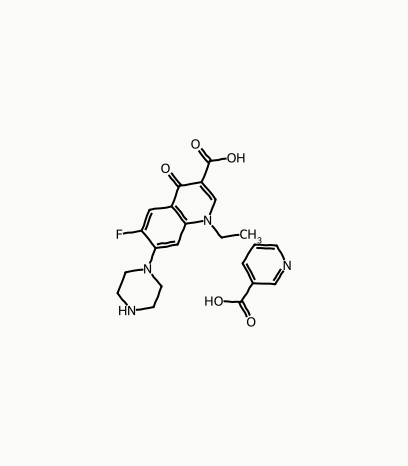 CCn1cc(C(=O)O)c(=O)c2cc(F)c(N3CCNCC3)cc21.O=C(O)c1cccnc1